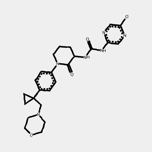 O=C(Nc1cnc(Cl)cn1)NC1CCCN(c2ccc(C3(CN4CCOCC4)CC3)cc2)C1=O